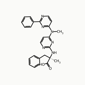 CN(c1ccnc(N[C@](C)(Cc2ccccc2)C(=O)O)n1)c1ccnc(-c2ccccc2)n1